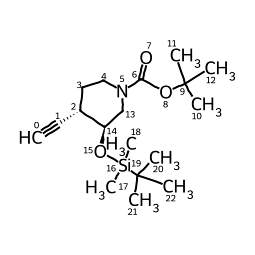 C#C[C@@H]1CCN(C(=O)OC(C)(C)C)C[C@H]1O[Si](C)(C)C(C)(C)C